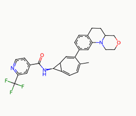 CC1=CC=C2C(C=C1c1ccc3c(c1)N1CCOCC1CC3)[C@@H]2NC(=O)c1ccnc(C(F)(F)F)c1